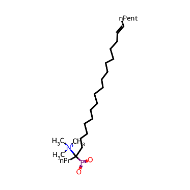 CCCCCC=CCCCCCCCCCCCCCCCC(CCC)(P(=O)=O)[N+](C)(C)C